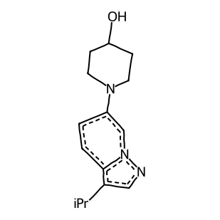 CC(C)c1cnn2cc(N3CCC(O)CC3)ccc12